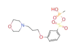 CP(=O)(O)OS(=O)(=O)c1cccc(OCCCN2CCOCC2)c1